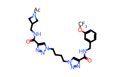 CC(=O)N1CC(CNC(=O)c2cn(CCCCn3cc(C(=O)NCc4cccc(OC(F)(F)F)c4)nn3)nn2)C1